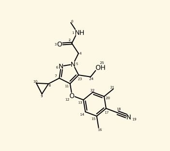 CNC(=O)Cn1nc(C2CC2)c(Oc2cc(C)c(C#N)c(C)c2)c1CO